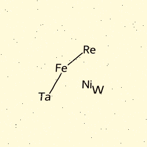 [Ni].[Ta][Fe][Re].[W]